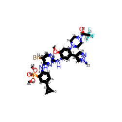 COc1cc(N2CCN(C(=O)C(F)(F)F)CC2)c(-c2cnn(C)c2)cc1Nc1ncc(Br)c(Nc2ccc(C3CC3)cc2P(=O)(OC)OC)n1